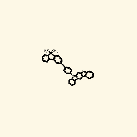 CC1(C)c2ccccc2-c2cc(-c3ccc(-n4c5ccccc5c5cc6c(cc54)oc4ccccc46)cc3)ccc21